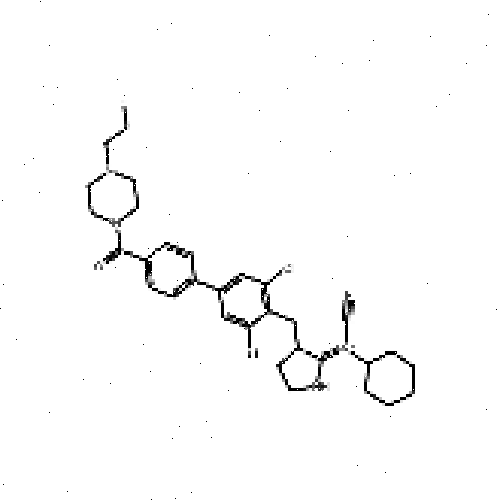 N#C[N+](=C1NCCC1Cc1c(Cl)cc(-c2ccc(C(=O)N3CCN(CCF)CC3)cc2)cc1Cl)C1CCCCC1